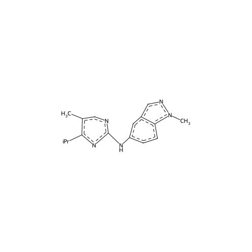 Cc1cnc(Nc2ccc3c(cnn3C)c2)nc1C(C)C